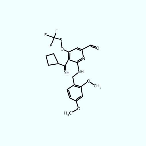 COc1ccc(CNc2nc(C=O)cc(OSC(F)(F)F)c2C(=N)C2CCC2)c(OC)c1